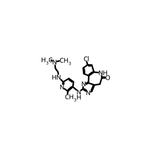 Cc1nc(NCCN(C)C)ccc1Nc1ncc2c(n1)-c1ccc(Cl)cc1NC(=O)C2